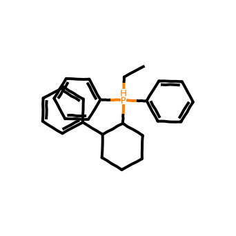 CC[PH](c1ccccc1)(c1ccccc1)C1CCCCC1c1ccccc1